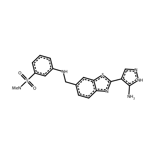 CNS(=O)(=O)c1cccc(NCc2ccc3nc(-c4cn[nH]c4N)sc3c2)c1